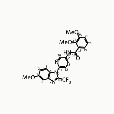 COc1ccc2c(c1)nc(C(F)(F)F)n2-c1cnc(NC(=O)c2cccc(OC)c2OC)cn1